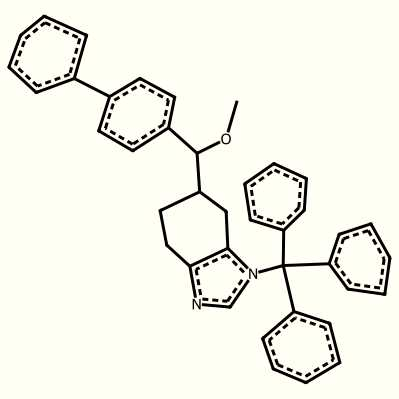 COC(c1ccc(-c2ccccc2)cc1)C1CCc2ncn(C(c3ccccc3)(c3ccccc3)c3ccccc3)c2C1